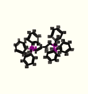 C(=C[PH](c1ccccc1)(c1ccccc1)c1ccccc1)CC[PH](c1ccccc1)(c1ccccc1)c1ccccc1